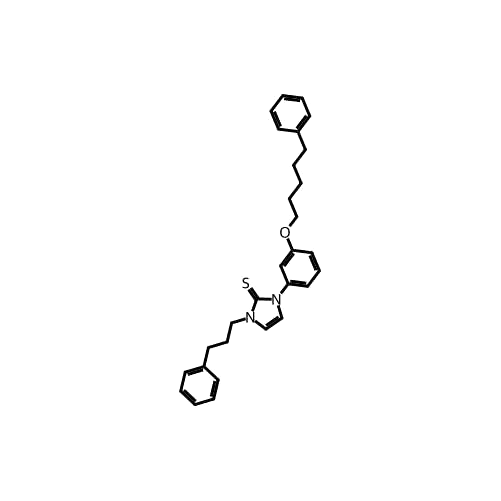 S=c1n(CCCc2ccccc2)ccn1-c1cccc(OCCCCCc2ccccc2)c1